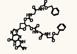 CC(C)C(=O)Nc1nc2c(ncn2C2CC(OC(=O)NCC(=O)NCC(=O)OCc3ccccc3)C(COC(=O)NCC(=O)NCC(=O)OCc3ccccc3)O2)c(=O)[nH]1